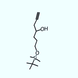 C#CCC(O)CCCO[Si](C)(C)C(C)(C)C